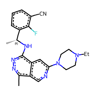 CCN1CCN(c2cc3c(N[C@H](C)c4cccc(C#N)c4F)nnc(C)c3cn2)CC1